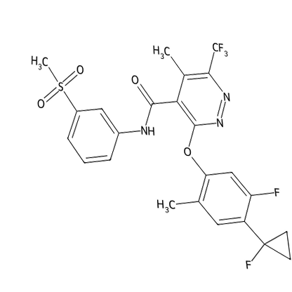 Cc1cc(C2(F)CC2)c(F)cc1Oc1nnc(C(F)(F)F)c(C)c1C(=O)Nc1cccc(S(C)(=O)=O)c1